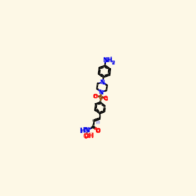 Nc1ccc(N2CCN(S(=O)(=O)c3ccc(/C=C/C(=O)NO)cc3)CC2)cc1